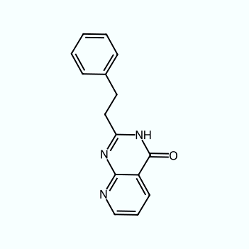 O=c1[nH]c(CCc2ccccc2)nc2ncccc12